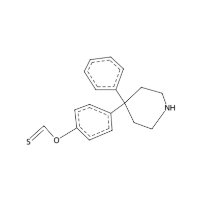 S=COc1ccc(C2(c3ccccc3)CCNCC2)cc1